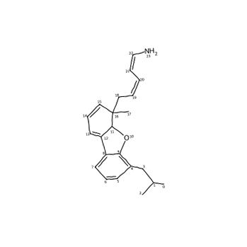 CC(C)Cc1cccc2c1OC1C2=CC=CC1(C)C/C=C\C=C/N